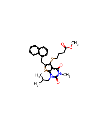 COC(=O)CCCSc1c(Cc2cccc3ccccc23)sc2c1c(=O)n(C)c(=O)n2CC(C)C